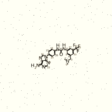 CN(C)Cc1cc(NC(=O)Nc2ccc(-n3cnc4c(N)ncnc43)cc2)cc(C(F)(F)F)c1